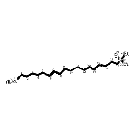 CCCCCCCCCCCCCCCCCCCCCCCCCCC[CH][Si](CC)(CC)CC